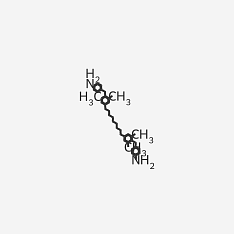 Cc1cc(CCCCCCCCCc2cc(C)c(Cc3ccc(N)cc3)c(C)c2)cc(C)c1Cc1ccc(N)cc1